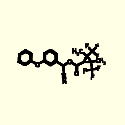 CC1(C(F)(F)F)C(C(=O)OC(C#N)c2cccc(Oc3ccccc3)c2)C1(C)C(F)(F)F